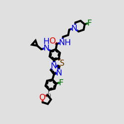 O=C(NCCCN1CCC(F)CC1)c1cc2sc3nc(-c4ccc([C@@H]5CCCO5)cc4F)cn3c2cc1NCC1CC1